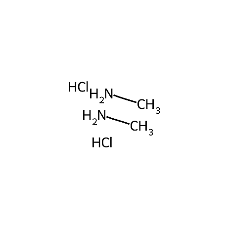 CN.CN.Cl.Cl